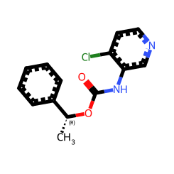 C[C@@H](OC(=O)Nc1cnccc1Cl)c1ccccc1